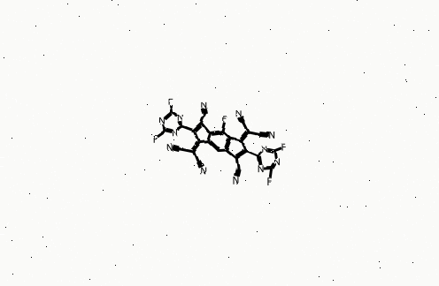 N#CC(C#N)=C1C(c2nc(F)nc(F)n2)=C(C#N)c2c1cc1c(c2F)C(=C(C#N)C#N)C(c2nc(F)nc(F)n2)=C1C#N